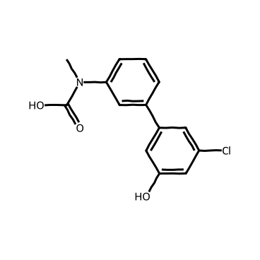 CN(C(=O)O)c1cccc(-c2cc(O)cc(Cl)c2)c1